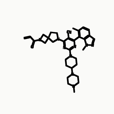 C=CC(=O)N1CC2(CCN(c3nc(N4CCC(N5CCN(C)CC5)CC4)nc(-c4c(C)ccc5cnn(C)c45)c3C#N)C2)C1